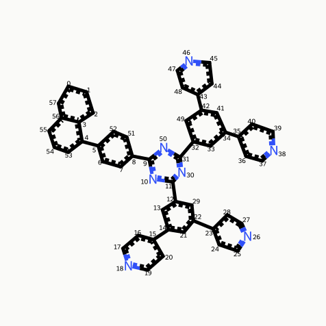 c1ccc2c(-c3ccc(-c4nc(-c5cc(-c6ccncc6)cc(-c6ccncc6)c5)nc(-c5cc(-c6ccncc6)cc(-c6ccncc6)c5)n4)cc3)cccc2c1